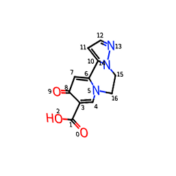 O=C(O)c1cn2c(cc1=O)-c1ccnn1CC2